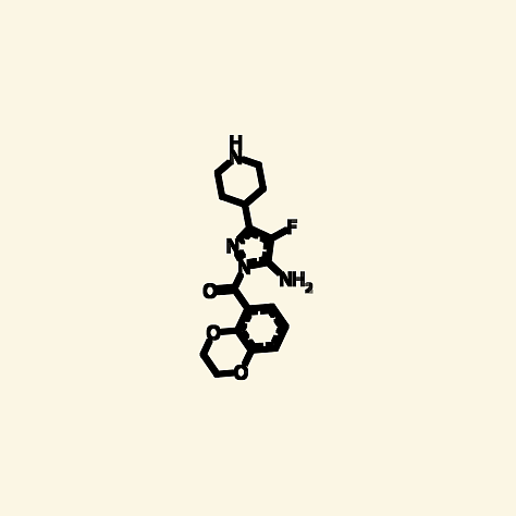 Nc1c(F)c(C2CCNCC2)nn1C(=O)c1cccc2c1OCCO2